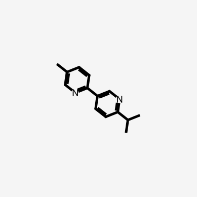 Cc1ccc(-c2ccc(C(C)C)nc2)nc1